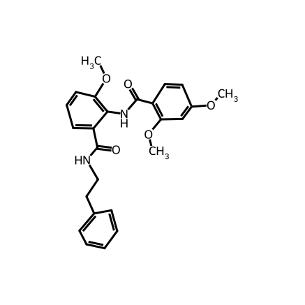 COc1ccc(C(=O)Nc2c(OC)cccc2C(=O)NCCc2ccccc2)c(OC)c1